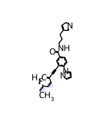 C=C(C#Cc1cc(C(=O)NCCCC2=CCN=C2)ccc1-n1cccn1)/C=C\C(F)=C/C